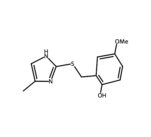 COc1ccc(O)c(CSc2nc(C)c[nH]2)c1